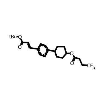 CC(C)(C)OC(=O)/C=C/c1ccc(C2CCC(OC(=O)CCC(F)(F)F)CC2)cc1